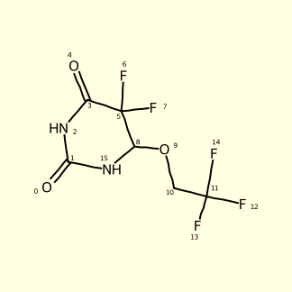 O=C1NC(=O)C(F)(F)C(OCC(F)(F)F)N1